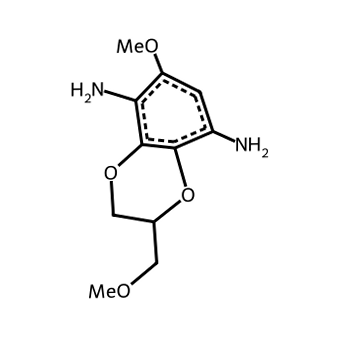 COCC1COc2c(N)c(OC)cc(N)c2O1